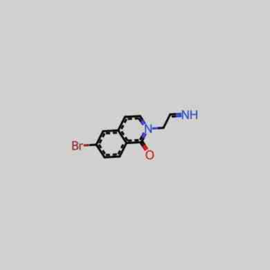 N=CCn1ccc2cc(Br)ccc2c1=O